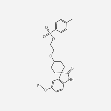 CCOc1ccc2c(c1)C1(CCC(OCCOS(=O)(=O)c3ccc(C)cc3)CC1)C(=O)N2